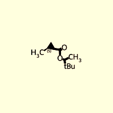 CC(OC(=O)C1=C[C@@H]1C)C(C)(C)C